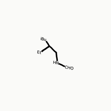 CCC(C)C(CC)CNC=O